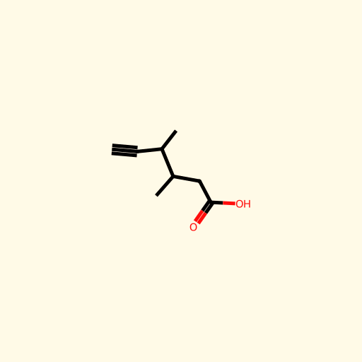 C#CC(C)C(C)CC(=O)O